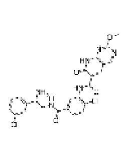 COc1ncc2cc(C(=O)Nc3cc(C(=O)NCC(N)c4cccc(Cl)c4)ccc3Cl)c(=O)[nH]c2n1